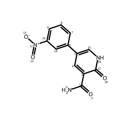 NC(=O)c1cc(-c2cccc([N+](=O)[O-])c2)c[nH]c1=O